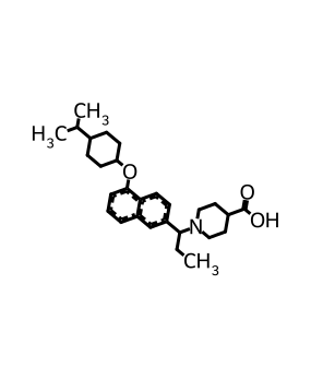 CCC(c1ccc2c(OC3CCC(C(C)C)CC3)cccc2c1)N1CCC(C(=O)O)CC1